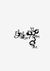 CC(=O)N1CCCC(Cc2nc3c([nH]2)-c2ccncc2Nc2ncccc2-3)C1.O=C(O)C(F)(F)F.O=C(O)C(F)(F)F